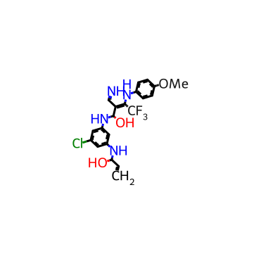 C=CC(O)Nc1cc(Cl)cc(NC(O)/C(C=N)=C(/Nc2ccc(OC)cc2)C(F)(F)F)c1